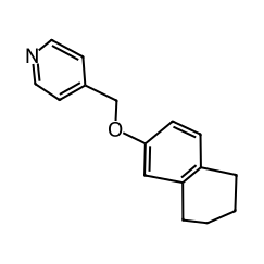 c1cc(COc2ccc3c(c2)CCCC3)ccn1